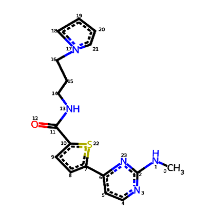 CNc1nccc(-c2ccc(C(=O)NCCCn3cccc3)s2)n1